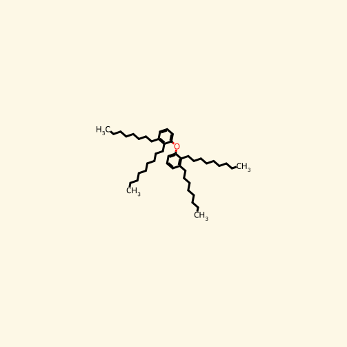 CCCCCCCCCc1c(CCCCCCCC)cccc1Oc1cccc(CCCCCCCC)c1CCCCCCCCC